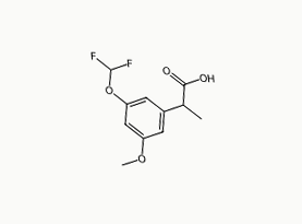 COc1cc(OC(F)F)cc(C(C)C(=O)O)c1